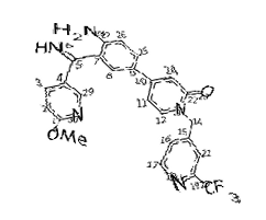 COc1ccc(C(=N)c2cc(-c3ccn(Cc4ccnc(C(F)(F)F)c4)c(=O)c3)ccc2N)cn1